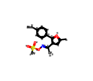 CCCS(=O)(=O)ON=C(c1cc(C)oc1-c1ccc(SC)cc1)C(F)(F)F